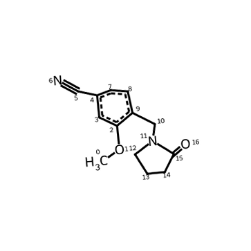 COc1cc(C#N)ccc1CN1CCCC1=O